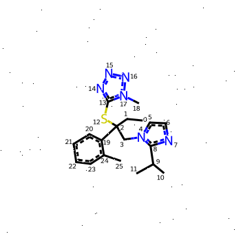 CCC(Cn1ccnc1C(C)C)(Sc1nnnn1C)c1ccccc1C